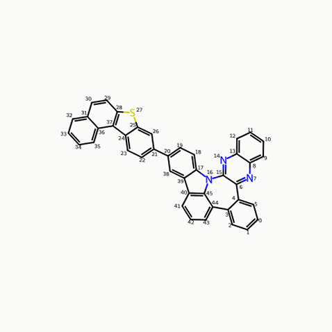 c1ccc2c(c1)-c1nc3ccccc3nc1-n1c3ccc(-c4ccc5c(c4)sc4ccc6ccccc6c45)cc3c3cccc-2c31